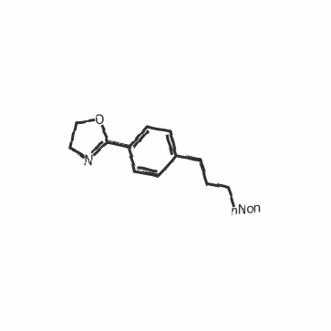 CCCCCCCCCCCCc1ccc(C2=NCCO2)cc1